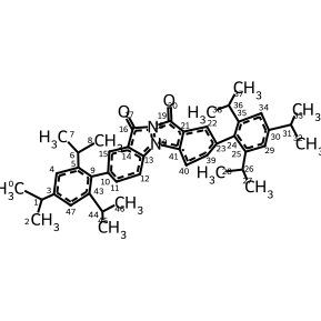 CC(C)c1cc(C(C)C)c(-c2ccc3c(c2)c(=O)n2c(=O)c4cc(-c5c(C(C)C)cc(C(C)C)cc5C(C)C)ccc4n32)c(C(C)C)c1